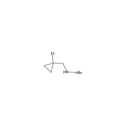 CCCCNCC1(CC)CC1